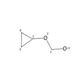 [O]COC1CC1